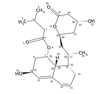 CC(C)CC(=O)O[C@H]1C[C@H](O)C=C2C=CC[C@@H]([C@@H](C)C[C@@H]3C[C@@H](O)CC(=O)O3)[C@H]21